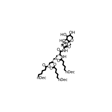 CCCCCCCCCCCCCCC(=O)N[C@H](CSC[C@@H](COC(=O)CCCCCCCCCCCCCC)OC(=O)CCCCCCCCCCCCCC)C(=O)Nc1cn([C@]2(CO)OCC(O)C(O)C2O)nn1